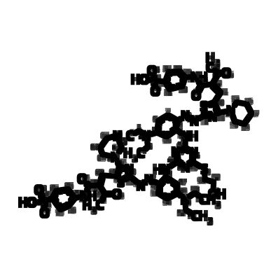 CCN(CC)c1ccc(/N=N/c2nc(N3CCCCC3)c(/C=C(/C(C)=O)C(=O)Nc3ccc(S(=O)(=O)O)cc3)s2)c(Nc2nc(Nc3cc(N(CC)CC)ccc3/N=N/c3nc(N4CCCCC4)c(/C=C(\C(C)=O)C(=O)Nc4ccc(S(=O)(=O)O)cc4)s3)nc(SCCO)n2)c1